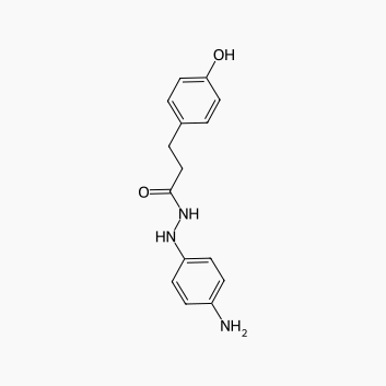 Nc1ccc(NNC(=O)CCc2ccc(O)cc2)cc1